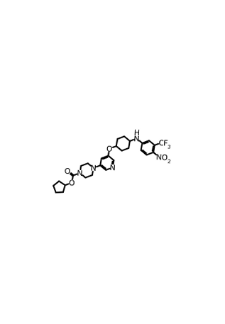 O=C(OC1CCCC1)N1CCN(c2cncc(OC3CCC(Nc4ccc([N+](=O)[O-])c(C(F)(F)F)c4)CC3)c2)CC1